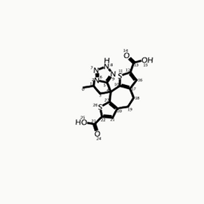 CC(C)CC1(c2nn[nH]n2)c2sc(C(=O)O)cc2CCc2cc(C(=O)O)sc21